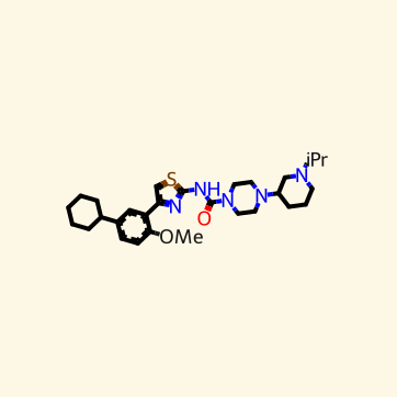 COc1ccc(C2CCCCC2)cc1-c1csc(NC(=O)N2CCN(C3CCCN(C(C)C)C3)CC2)n1